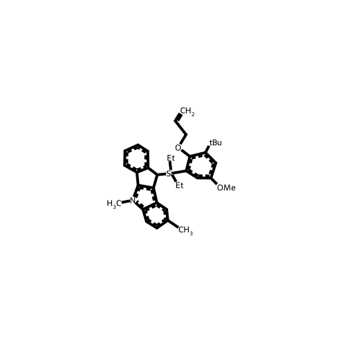 C=CCOc1c(C(C)(C)C)cc(OC)cc1[Si](CC)(CC)C1c2ccccc2-c2c1c1cc(C)ccc1n2C